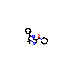 CC1(C)CC(c2ccccc2)Nc2c(C(=O)N3CCCCCC3)cnn21